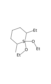 CCO[Si]1(OCC)C(C)CCCC1CC